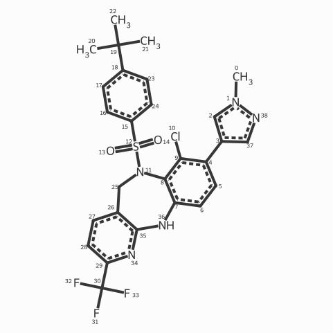 Cn1cc(-c2ccc3c(c2Cl)N(S(=O)(=O)c2ccc(C(C)(C)C)cc2)Cc2ccc(C(F)(F)F)nc2N3)cn1